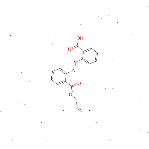 C=CCOC(=O)c1ccccc1N=Nc1ccccc1C(=O)O